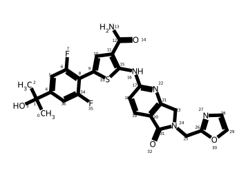 CC(C)(O)c1cc(F)c(-c2cc(C(N)=O)c(Nc3ccc4c(n3)CN(Cc3ncco3)C4=O)s2)c(F)c1